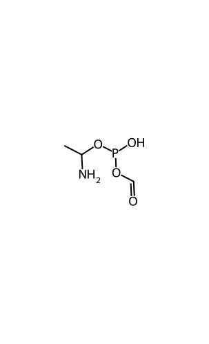 CC(N)OP(O)OC=O